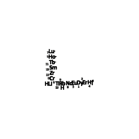 [Cr].[Dy].[Er].[Eu].[Hf].[Ho].[LiH].[Lu].[Nd].[RbH].[Sm].[Tb].[Ti].[Zr]